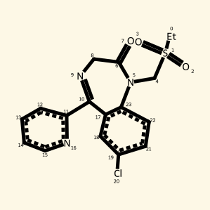 CCS(=O)(=O)CN1C(=O)CN=C(c2ccccn2)c2cc(Cl)ccc21